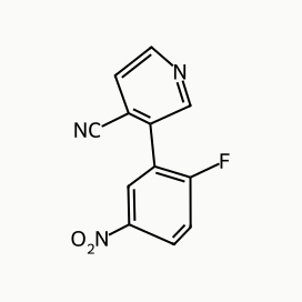 N#Cc1ccncc1-c1cc([N+](=O)[O-])ccc1F